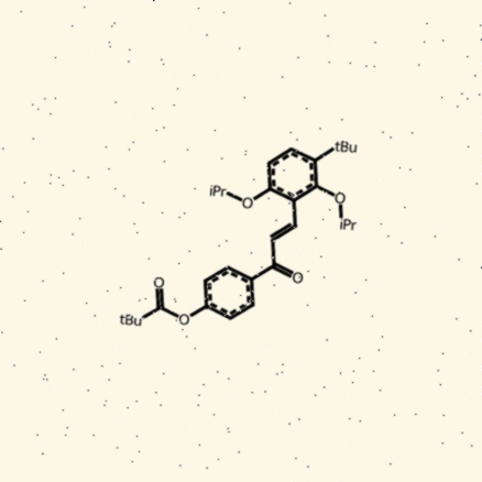 CC(C)Oc1ccc(C(C)(C)C)c(OC(C)C)c1/C=C/C(=O)c1ccc(OC(=O)C(C)(C)C)cc1